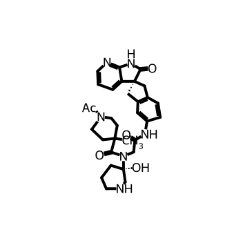 CC(=O)N1CCC(C)(C(=O)N(CC(=O)Nc2ccc3c(c2)C[C@@]2(C3)C(=O)Nc3ncccc32)[C@]2(O)CCCNC2)CC1